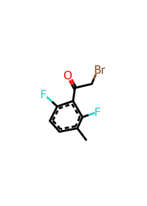 Cc1ccc(F)c(C(=O)CBr)c1F